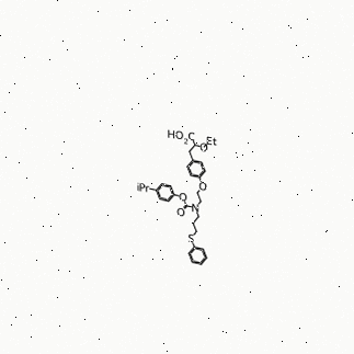 CCOC(Cc1ccc(OCCN(CCCSc2ccccc2)C(=O)Oc2ccc(C(C)C)cc2)cc1)C(=O)O